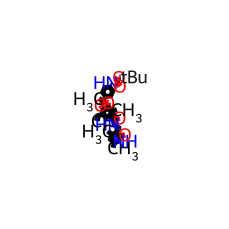 C=Cc1cc(C(=O)NCc2c(C)cc(C)[nH]c2=O)c(C)c2c1OC(C)([C@H]1CC[C@H](NC(=O)OC(C)(C)C)CC1)O2